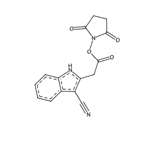 N#Cc1c(CC(=O)ON2C(=O)CCC2=O)[nH]c2ccccc12